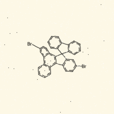 Brc1ccc2c(c1)C1(c3ccccc3-c3ccccc31)c1c-2c2ccccc2c2cc(Br)ccc12